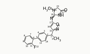 CC(c1ccc(-c2ccccc2F)cc1)c1cc(/N=C2\NC(=O)CN2C)on1